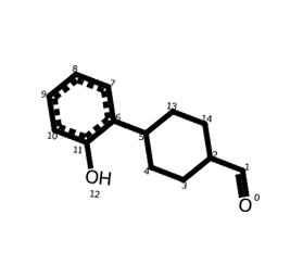 O=CC1CCC(c2ccccc2O)CC1